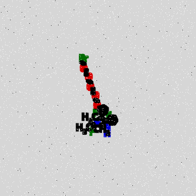 CC1C(c2c(F)ccc(OCCOCCOCCOCCOCCBr)c2F)c2c([nH]c3ccccc23)CN1CC(C)(C)F